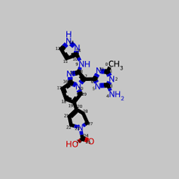 Cc1nc(N)nc(-c2c(Nc3cc[nH]n3)nc3ccc(C4=CCN(C(=O)O)CC4)cn23)n1